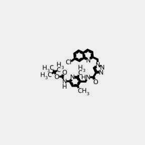 Cc1cc(NC(=O)OC(C)(C)C)nc(C)c1CNC(=O)c1cn(Cc2ccc3ccc(Cl)cc3n2)nn1